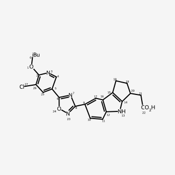 CCC(C)Oc1ncc(-c2nc(-c3ccc4[nH]c5c(c4c3)CCC5CC(=O)O)no2)cc1Cl